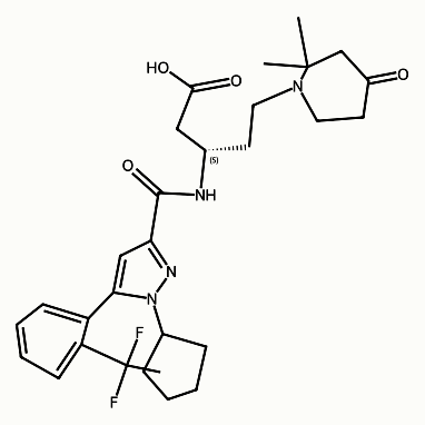 CC(F)(F)c1ccccc1-c1cc(C(=O)N[C@@H](CCN2CCC(=O)CC2(C)C)CC(=O)O)nn1C1CCCC1